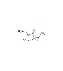 C=COC(=O)C1(CC)CC1C